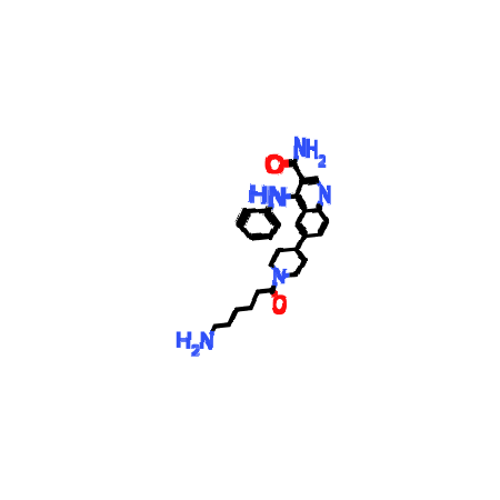 NCCCCCC(=O)N1CCC(c2ccc3ncc(C(N)=O)c(Nc4ccccc4)c3c2)CC1